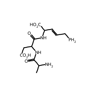 CC(N)C(=O)NC(CC(=O)O)C(=O)NC(/C=C/CP)C(=O)O